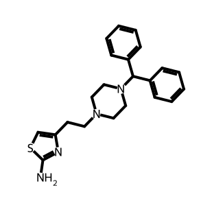 Nc1nc(CCN2CCN(C(c3ccccc3)c3ccccc3)CC2)cs1